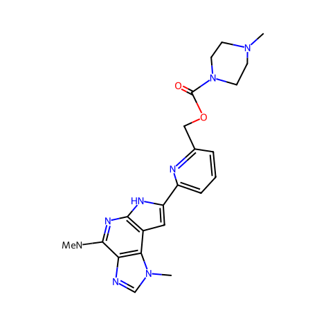 CNc1nc2[nH]c(-c3cccc(COC(=O)N4CCN(C)CC4)n3)cc2c2c1ncn2C